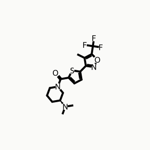 Cc1c(-c2ccc(C(=O)N3CCC[C@H](N(C)C)C3)s2)noc1C(F)(F)F